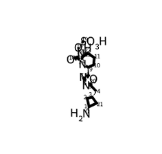 N[C@H]1C[C@H](Cc2nnc([C@@H]3CC[C@H]4CN3C(=O)N4OS(=O)(=O)O)o2)C1